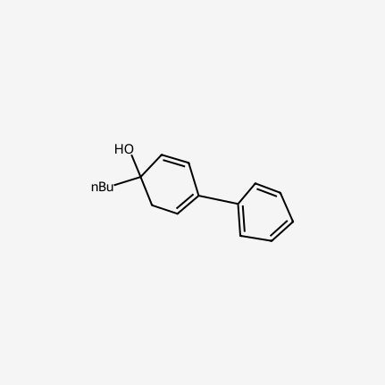 CCCCC1(O)C=CC(c2ccccc2)=CC1